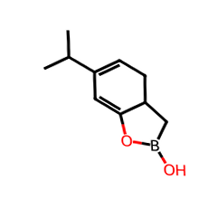 CC(C)C1=CCC2CB(O)OC2=C1